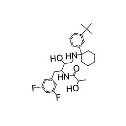 CC(O)C(=O)NC(Cc1cc(F)cc(F)c1)C(O)CNC1(c2cccc(C(C)(C)C)c2)CCCCC1